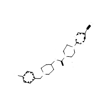 C[C@@H]1CN(c2ncc(C#N)cn2)C[C@H](C)N1C(=O)NC1CCN(Cc2ccc(F)cc2)CC1